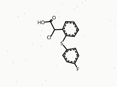 O=C(O)C(Cl)c1ccccc1Sc1ccc(F)cc1